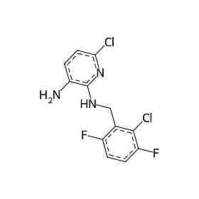 Nc1ccc(Cl)nc1NCc1c(F)ccc(F)c1Cl